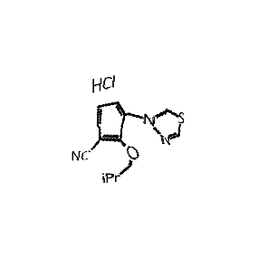 CC(C)Oc1c(C#N)cccc1N1CSC=N1.Cl